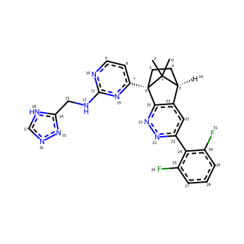 CC1(C)[C@H]2CC[C@]1(c1ccnc(NCc3nnc[nH]3)n1)c1nnc(-c3c(F)cccc3F)cc12